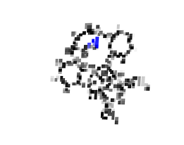 CCC1c2ccccc2-c2ccc(cn2)-c2ccccc2C1(CC)c1cc(C)cc(C)c1